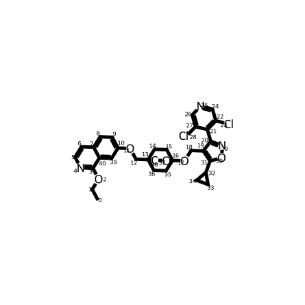 CCOc1nccc2ccc(OCC34CCC(OCc5c(-c6c(Cl)cncc6Cl)noc5C5CC5)(CC3)CC4)cc12